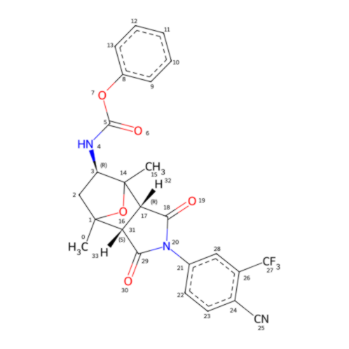 CC12C[C@@H](NC(=O)Oc3ccccc3)C(C)(O1)[C@@H]1C(=O)N(c3ccc(C#N)c(C(F)(F)F)c3)C(=O)[C@@H]12